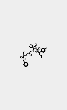 C=CCC(NC(=O)N1C(=O)C(CC)(CC)C1OCC(=O)CCN(CC)C(=O)OCc1ccccc1)c1ccc(C)cc1